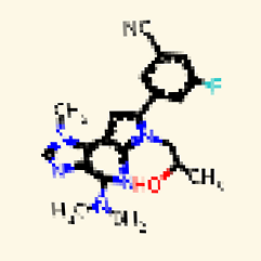 BN(C)c1nc2c(cc(-c3cc(F)cc(C#N)c3)n2CC(C)O)c2c1ncn2C